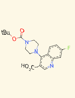 CC(C)(C)OC(=O)N1CCN(c2c(C(=O)O)cnc3cc(F)ccc23)CC1